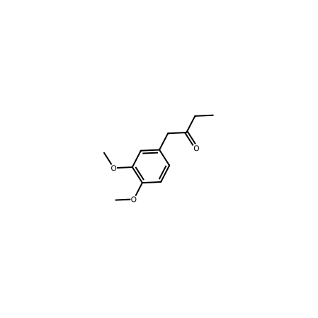 CCC(=O)Cc1ccc(OC)c(OC)c1